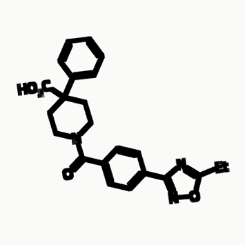 CCc1nc(-c2ccc(C(=O)N3CCC(C(=O)O)(c4ccccc4)CC3)cc2)no1